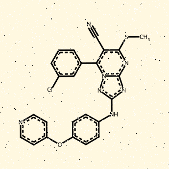 CSc1nc2nc(Nc3ccc(Oc4ccncc4)cc3)nn2c(-c2cccc(Cl)c2)c1C#N